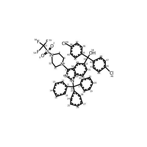 O=S(=O)(N1CCN(c2nn(C(c3ccccc3)(c3ccccc3)c3ccccc3)c3ccc(C(O)(c4ccc(Cl)cc4)c4ccc(Cl)cc4)cc23)CC1)C(F)(F)F